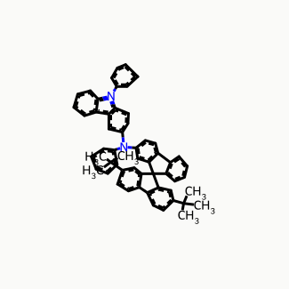 CC(C)(C)c1ccc2c(c1)C1(c3ccccc3-c3ccc(N(c4ccccc4)c4ccc5c(c4)c4ccccc4n5-c4ccccc4)cc31)c1cc(C(C)(C)C)ccc1-2